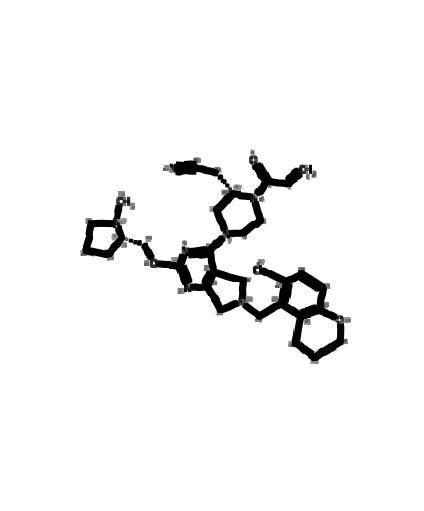 C=CC(=O)N1CCN(c2nc(OC[C@@H]3CCCN3C)nc3c2CN(Cc2c(Cl)ccc4c2CCCO4)C3)C[C@@H]1CC#N